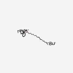 CCCCC=CCCCCC=CCCCCCCCCCC(CCC)(P(=O)=O)[N+](C)(C)C